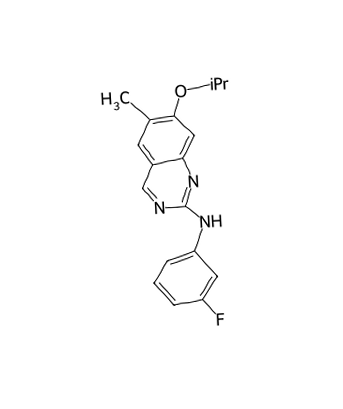 Cc1cc2cnc(Nc3cccc(F)c3)nc2cc1OC(C)C